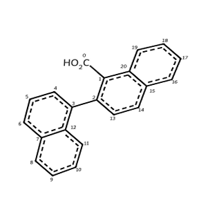 O=C(O)c1c(-c2cccc3ccccc23)ccc2ccccc12